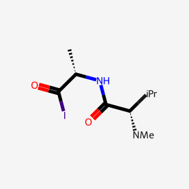 CN[C@H](C(=O)N[C@@H](C)C(=O)I)C(C)C